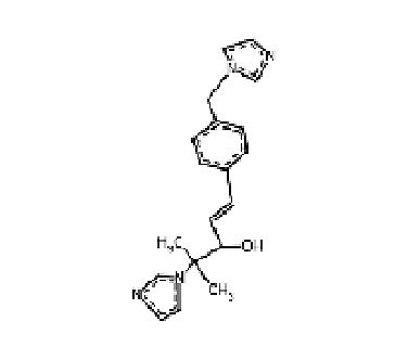 CC(C)(C(O)C=Cc1ccc(Cn2ccnc2)cc1)n1ccnc1